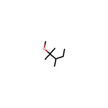 CCC(C)C(C)(C)OC